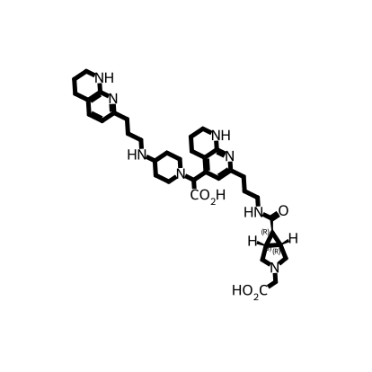 O=C(O)CN1C[C@@H]2[C@H](C1)[C@H]2C(=O)NCCCc1cc(C(C(=O)O)N2CCC(NCCCc3ccc4c(n3)NCCC4)CC2)c2c(n1)NCCC2